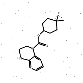 O=C(OC1CCC(F)(F)CC1)N1CCNc2ccccc21